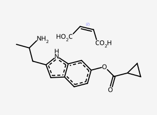 CC(N)Cc1cc2ccc(OC(=O)C3CC3)cc2[nH]1.O=C(O)/C=C\C(=O)O